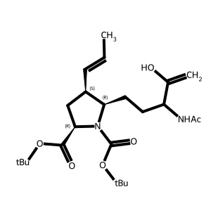 C=C(O)C(CC[C@@H]1[C@H](C=CC)C[C@H](C(=O)OC(C)(C)C)N1C(=O)OC(C)(C)C)NC(C)=O